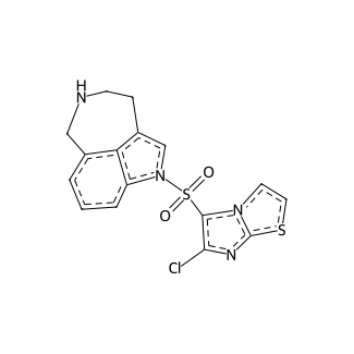 O=S(=O)(c1c(Cl)nc2sccn12)n1cc2c3c(cccc31)CNCC2